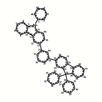 c1ccc(-n2c3ccccc3c3cc(-c4cccc(-c5ccc6c(c5)C(c5ccccc5)(c5ccccc5)c5ccccc5-6)c4)ccc32)cc1